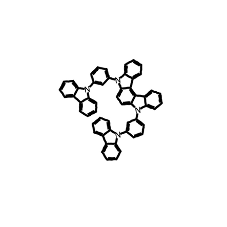 c1cc(-n2c3ccccc3c3ccccc32)cc(-n2c3ccccc3c3c4c5ccccc5n(-c5cccc(-n6c7ccccc7c7ccccc76)c5)c4ccc32)c1